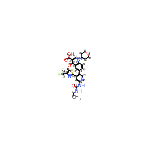 CCNC(=O)Nc1cc(-c2nc(C(F)(F)F)cs2)c(-c2ccc3c(c2)c(=O)c(C(=O)O)cn3C2CCOCC2)cn1